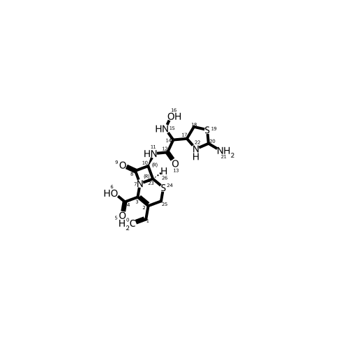 C=CC1=C(C(=O)O)N2C(=O)[C@@H](NC(=O)C(NO)C3CSC(N)N3)[C@H]2SC1